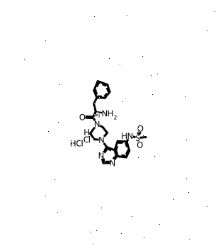 CS(=O)(=O)Nc1ccc2ncnc(N3CCN(C(=O)[C@H](N)Cc4ccccc4)CC3)c2c1.Cl.Cl